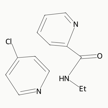 CCNC(=O)c1ccccn1.Clc1ccncc1